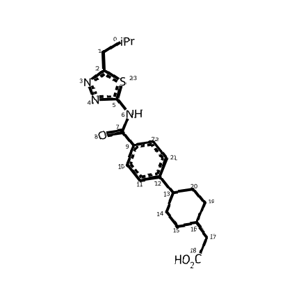 CC(C)Cc1nnc(NC(=O)c2ccc(C3CCC(CC(=O)O)CC3)cc2)s1